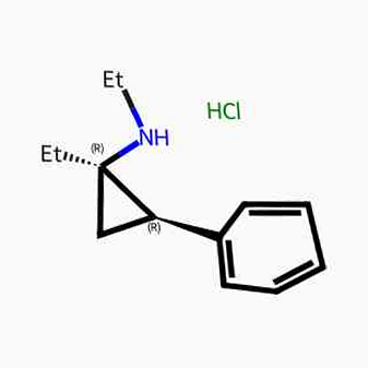 CCN[C@]1(CC)C[C@@H]1c1ccccc1.Cl